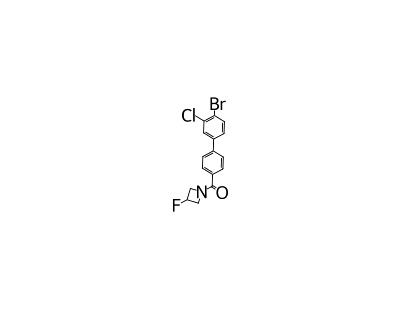 O=C(c1ccc(-c2ccc(Br)c(Cl)c2)cc1)N1CC(F)C1